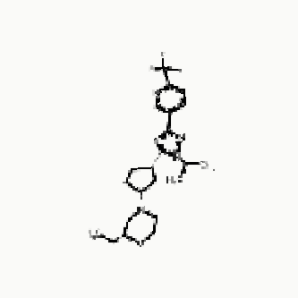 CC[C@H]1CN([C@@H]2CC[C@H](c3nc(-c4ccc(C(F)(F)F)nc4)nn3C(C)C)C2)CCO1